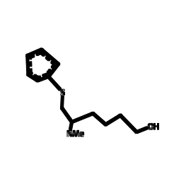 CNC(CCCCO)CSc1ccccc1